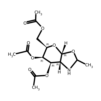 CC(=O)OC[C@H]1O[C@@H]2OC(C)N[C@@H]2[C@@H](OC(C)=O)[C@H]1OC(C)=O